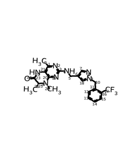 Cc1nc(NCc2cnn(Cc3ccccc3C(F)(F)F)c2)nc2c1NC(=O)[C@H](C)N2C